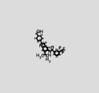 CC(C)c1cc2nn(C3CCC(CO)CC3)cc2cc1NC(=O)c1cccc(C(F)(F)F)n1